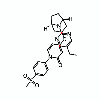 CCc1cnc(N2[C@@H]3CC[C@@H]2CC(Oc2ccn(-c4ccc(S(C)(=O)=O)cc4)c(=O)c2)C3)nc1